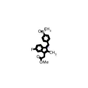 COC(=O)CC1=C(C)/C(=C/c2ccc([S@@+](C)[O-])cc2)c2ccc(F)cc21